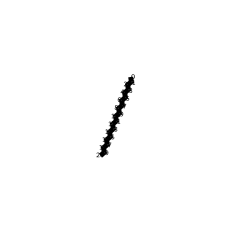 CCCCCCCCC[CH]CCCCCCCCCCC